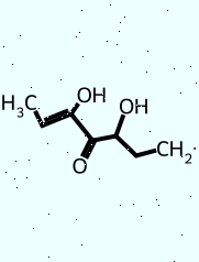 [CH2]CC(O)C(=O)C(O)=CC